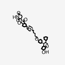 O=C1CCC(N2C(=O)c3ccc(N4CCN(CCCCCOc5ccc([C@@H]6c7ccc(O)cc7OCC6c6ccccc6)cc5)CC4)cc3C2=O)C(=O)N1